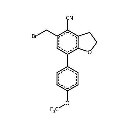 N#Cc1c(CBr)cc(-c2ccc(OC(F)(F)F)cc2)c2c1CCO2